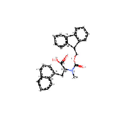 CN(C(=O)OCC1c2ccccc2-c2ccccc21)[C@@H](Cc1cccc2ccccc12)C(=O)O